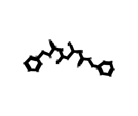 [CH2]CC(CC(C[CH2])NC(=O)OCc1ccccc1)NC(=O)OCc1ccccc1